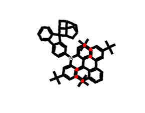 CC(C)(C)c1cc(-c2cccc3cccc(-c4ccccc4N(c4cc(C(C)(C)C)cc(C(C)(C)C)c4)c4ccc5c(c4)C4(c6ccccc6-5)C5CC6CC7CC4C75C6)c23)cc(C(C)(C)C)c1